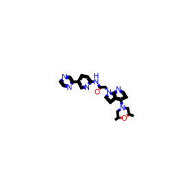 CC1CN(c2ccnc3c2ccn3CC(=O)Nc2ccc(-c3cnccn3)cn2)CC(C)O1